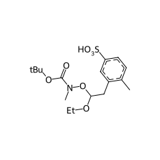 CCOC(Cc1cc(S(=O)(=O)O)ccc1C)ON(C)C(=O)OC(C)(C)C